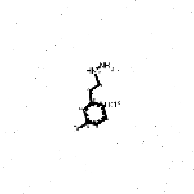 Cl.NNCCc1cccc(Br)c1